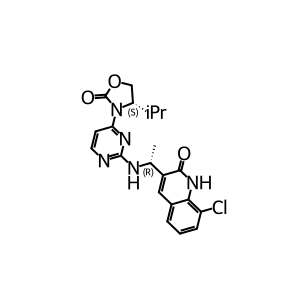 CC(C)[C@H]1COC(=O)N1c1ccnc(N[C@H](C)c2cc3cccc(Cl)c3[nH]c2=O)n1